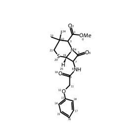 COC(=O)C1N2C(=O)C(NC(=O)COc3ccccc3)[C@@H]2SCC1(C)I